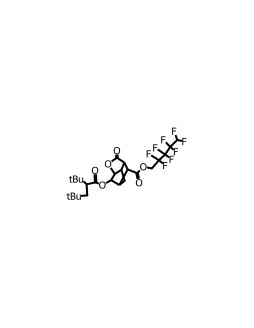 CC(C)(C)CC(C(=O)OC1C2CC3C1OC(=O)C3C2C(=O)OCC(F)(F)C(F)(F)C(F)(F)C(F)F)C(C)(C)C